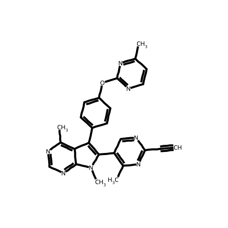 C#Cc1ncc(-c2c(-c3ccc(Oc4nccc(C)n4)cc3)c3c(C)ncnc3n2C)c(C)n1